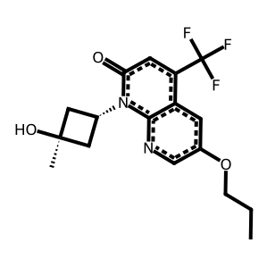 CCCOc1cnc2c(c1)c(C(F)(F)F)cc(=O)n2[C@H]1C[C@](C)(O)C1